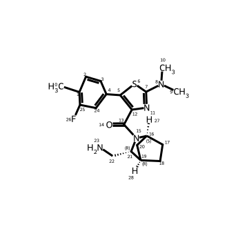 Cc1ccc(-c2sc(N(C)C)nc2C(=O)N2[C@H]3CC[C@H](C3)[C@@H]2CN)cc1F